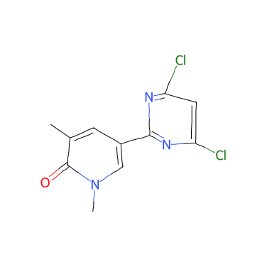 Cc1cc(-c2nc(Cl)cc(Cl)n2)cn(C)c1=O